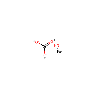 O=[Si]([O-])[O-].[Fe+3].[OH-]